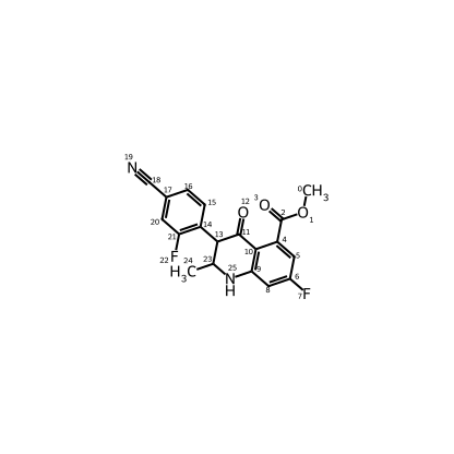 COC(=O)c1cc(F)cc2c1C(=O)C(c1ccc(C#N)cc1F)C(C)N2